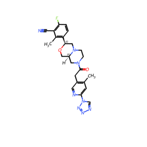 Cc1cc(-n2cnnn2)ncc1CC(=O)N1CCN2C[C@H](c3ccc(F)c(C#N)c3C)OC[C@@H]2C1